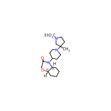 CCOC(=O)N1CCC(C)(N2CCC(N3C(=O)CO[C@H]4CCCC[C@@H]43)CC2)C1